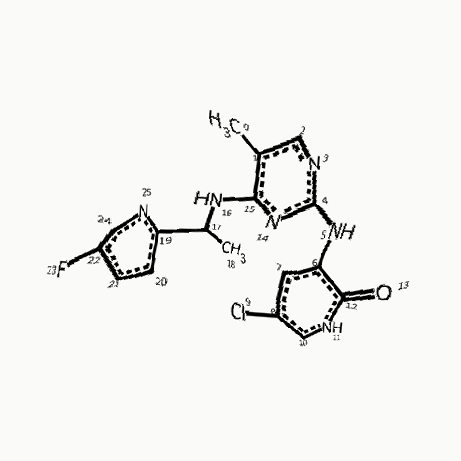 Cc1cnc(Nc2cc(Cl)c[nH]c2=O)nc1NC(C)c1ccc(F)cn1